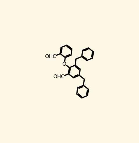 O=Cc1ccccc1Oc1c(C=O)cc(Cc2ccccc2)cc1Cc1ccccc1